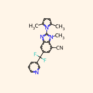 Cc1ccc(C)n1-c1nc2cc(C(F)(F)c3cccnc3)cc(C#N)c2n1C